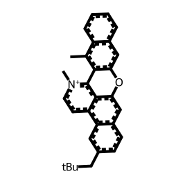 Cc1c2c(cc3ccccc13)Oc1cc3ccc(CC(C)(C)C)cc3c3cc[n+](C)c-2c13